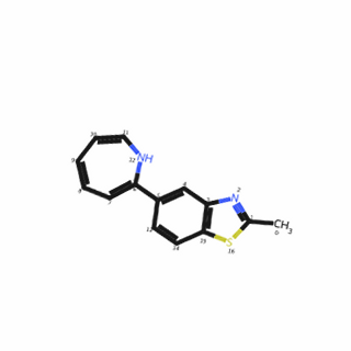 Cc1nc2cc(C3=CC=CC=CN3)ccc2s1